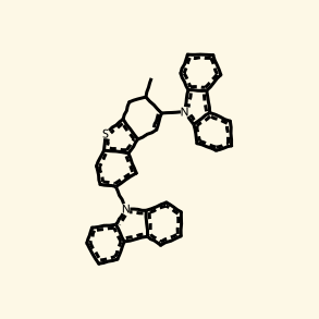 CC1Cc2sc3ccc(-n4c5ccccc5c5ccccc54)cc3c2C=C1n1c2ccccc2c2ccccc21